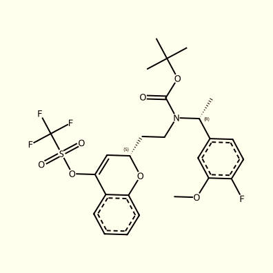 COc1cc([C@@H](C)N(CC[C@H]2C=C(OS(=O)(=O)C(F)(F)F)c3ccccc3O2)C(=O)OC(C)(C)C)ccc1F